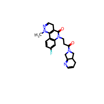 CN1N=CCc2c1c1ccc(F)cc1n(CCC(=O)N1CC3=NC=CCC3C1)c2=O